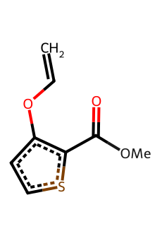 C=COc1ccsc1C(=O)OC